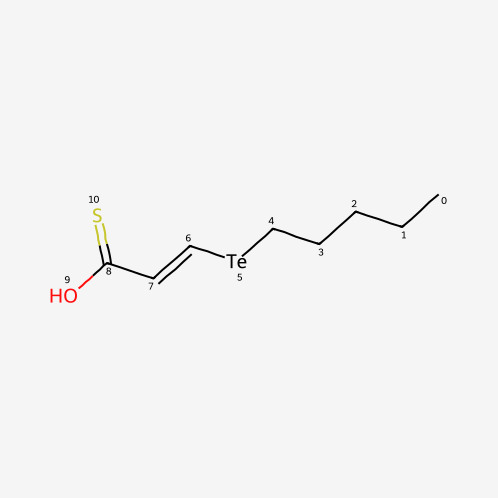 CCCCC[Te]C=CC(O)=S